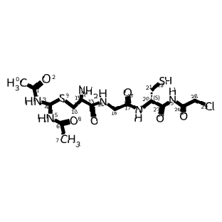 CC(=O)NC(NC(C)=O)SCC(N)C(=O)NCC(=O)N[C@H](CS)C(=O)NC(=O)CCl